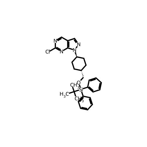 CC(C)(C)[Si](OC[C@H]1CC[C@H](n2ncc3cnc(Cl)nc32)CC1)(c1ccccc1)c1ccccc1